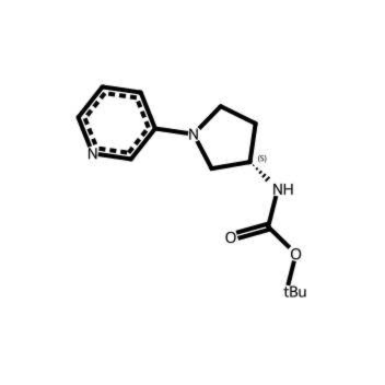 CC(C)(C)OC(=O)N[C@H]1CCN(c2cccnc2)C1